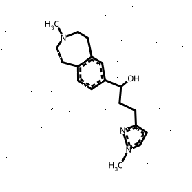 CN1CCc2ccc(C(O)CCc3ccn(C)n3)cc2CC1